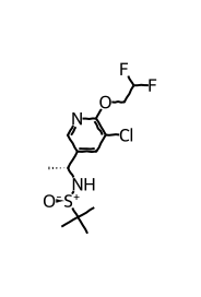 C[C@@H](N[S@+]([O-])C(C)(C)C)c1cnc(OCC(F)F)c(Cl)c1